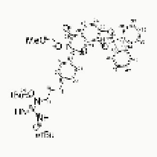 COCOc1c(-c2ccc(CCCN(OC(C)(C)C)C(=N)NOC(C)(C)C)cc2)oc2c3c(ccc2c1=O)OC(c1ccccc1)(c1ccccc1)O3